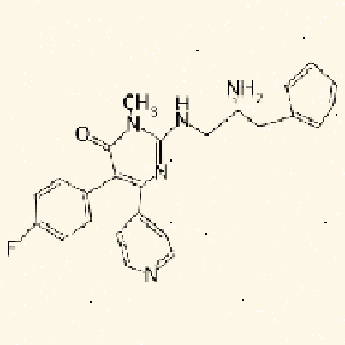 Cn1c(NC[C@H](N)Cc2ccccc2)nc(-c2ccncc2)c(-c2ccc(F)cc2)c1=O